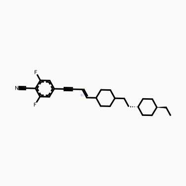 CC[C@H]1CC[C@H](CCC2CCC(/C=C/C#Cc3cc(F)c(C#N)c(F)c3)CC2)CC1